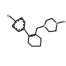 CC(C)N1CCN(CC2=C(c3ccc(Cl)cc3)CCCC2)CC1